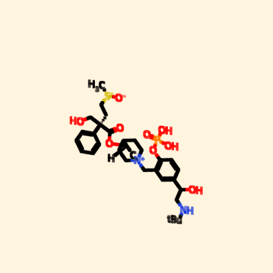 C[S@@+]([O-])CC[C@](CO)(C(=O)O[C@H]1C[N+]2(Cc3cc(C(O)CNC(C)(C)C)ccc3OP(=O)(O)O)CCC1CC2)c1ccccc1